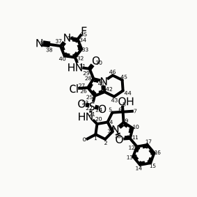 CC1CCC(CC(C)(O)c2cc(-c3ccccc3)on2)C1NS(=O)(=O)c1c(Cl)c(C(=O)Nc2cc(F)nc(C#N)c2)n2c1CCCC2